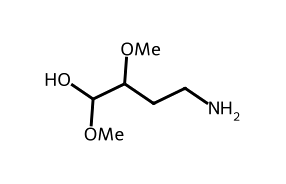 COC(O)C(CCN)OC